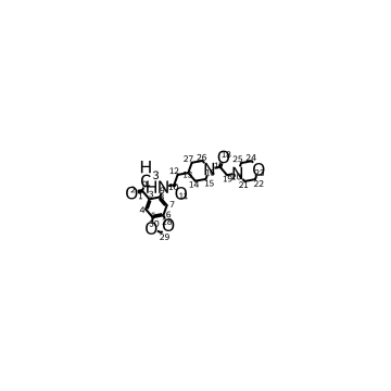 CC(=O)c1cc2c(cc1NC(=O)CC1CCN(C(=O)CN3CCOCC3)CC1)OCO2